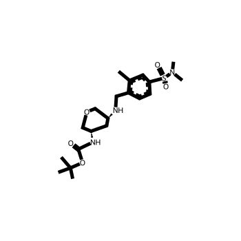 Cc1cc(S(=O)(=O)N(C)C)ccc1CN[C@H]1COC[C@@H](NC(=O)OC(C)(C)C)C1